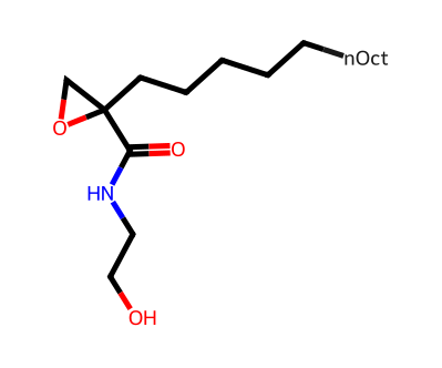 CCCCCCCCCCCCCC1(C(=O)NCCO)CO1